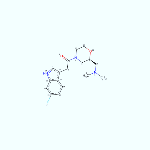 CN(C)C[C@H]1CN(C(=O)Cc2c[nH]c3cc(F)ccc23)CCO1